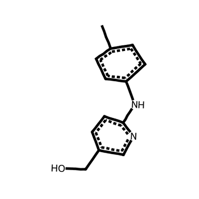 Cc1ccc(Nc2ccc(CO)cn2)cc1